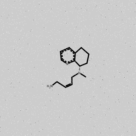 CN(C/C=C\CN)[C@H]1CCCc2cccnc21